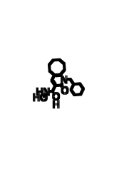 O=c1c(C(O)NO)cc2c(n1CC1CCCCC1)CCCCCC2